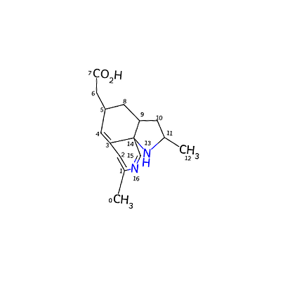 CC1=CC2=CC(CC(=O)O)CC3CC(C)NC23C=N1